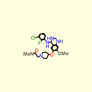 CNC(=O)CN1CCC(Oc2cc3c(cc2OC)NCNC3Nc2cccc(Cl)c2F)CC1